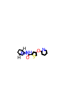 O=C(N[C@@H]1C[C@H]2CC[C@@H]1N2)c1cc(Oc2ccccn2)cs1